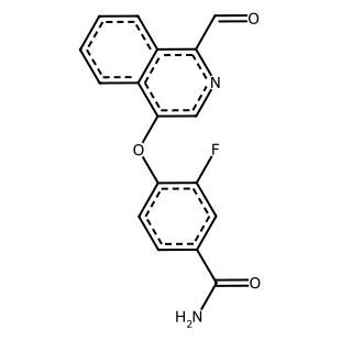 NC(=O)c1ccc(Oc2cnc(C=O)c3ccccc23)c(F)c1